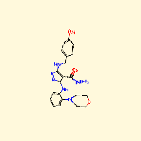 NC(=O)C1=C(NCc2ccc(O)cc2)N=NC1Nc1ccccc1N1CCOCC1